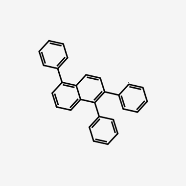 [c]1ccccc1-c1ccc2c(-c3ccccc3)cccc2c1-c1ccccc1